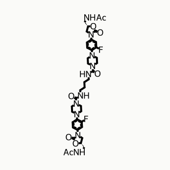 CC(=O)NC[C@H]1CN(c2ccc(N3CCN(C(=O)NCCCCNC(=O)N4CCN(c5ccc(N6C[C@H](CNC(C)=O)OC6=O)cc5F)CC4)CC3)c(F)c2)C(=O)O1